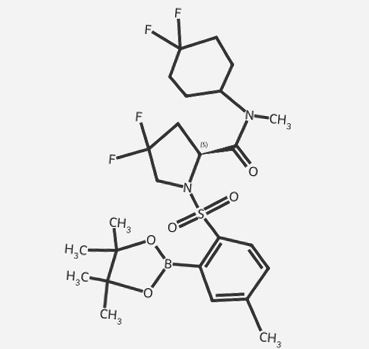 Cc1ccc(S(=O)(=O)N2CC(F)(F)C[C@H]2C(=O)N(C)C2CCC(F)(F)CC2)c(B2OC(C)(C)C(C)(C)O2)c1